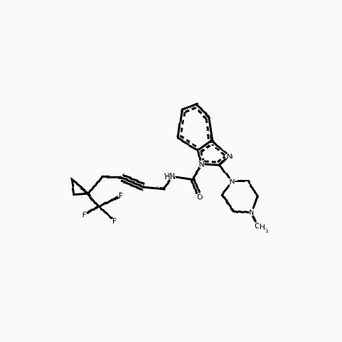 CN1CCN(c2nc3ccccc3n2C(=O)NCC#CCC2(C(F)(F)F)CC2)CC1